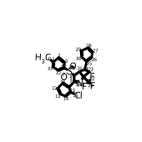 Cc1ccc(S(=O)(=O)C2C(c3ccccc3Cl)=NC3(C(F)(F)F)CC(c4ccccc4)C23)cc1